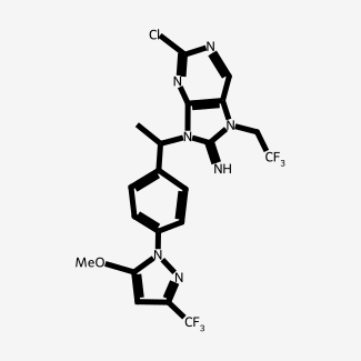 COc1cc(C(F)(F)F)nn1-c1ccc(C(C)n2c(=N)n(CC(F)(F)F)c3cnc(Cl)nc32)cc1